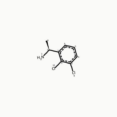 C[C@H](N)c1cccc(Cl)c1Cl